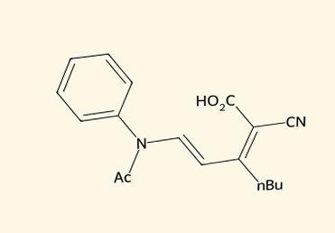 CCCCC(C=CN(C(C)=O)c1ccccc1)=C(C#N)C(=O)O